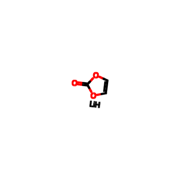 O=c1occo1.[LiH]